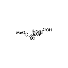 COc1ccc(CN2Cc3c(ccc(Nc4cc([C@H]5CC[C@H](O)C5)nn4C(C)(C)C)c3F)S2(=O)=O)cc1